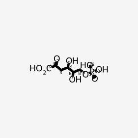 O=C(O)C(=O)CC(O)C(O)COP(=O)(O)O